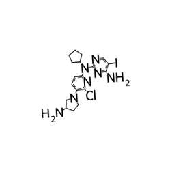 Nc1nc(N(c2ccc(N3CCC(N)C3)c(Cl)n2)C2CCCC2)ncc1I